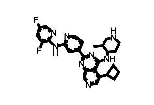 CC1CNCCC1Nc1nc(-c2ccnc(Nc3ncc(F)cc3F)c2)nc2cncc(C3CCC3)c12